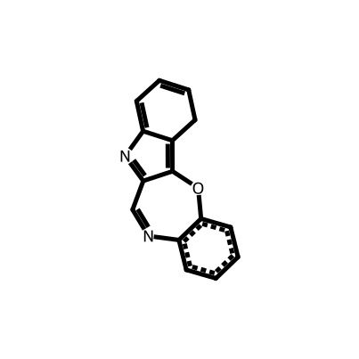 C1=CCC2=C3Oc4ccccc4N=CC3=NC2=C1